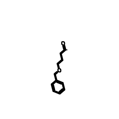 O=[C]CCCOCc1ccccc1